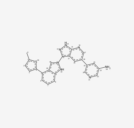 Cc1ccc(-c2cccc3[nH]c(-c4n[nH]c5ncc(-c6cncc(N)c6)cc45)cc23)s1